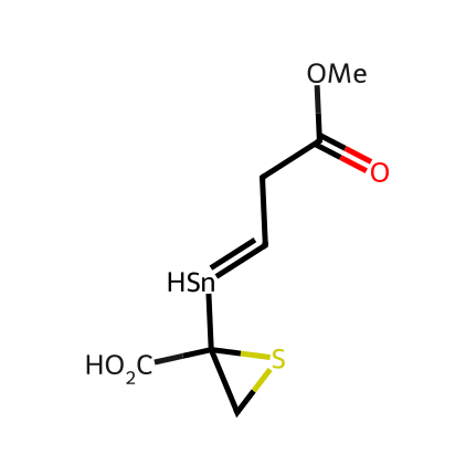 COC(=O)C[CH]=[SnH][C]1(C(=O)O)CS1